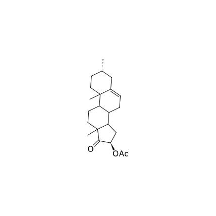 CC(=O)O[C@@H]1CC2C3CC=C4C[C@@H](C)CCC4(C)C3CCC2(C)C1=O